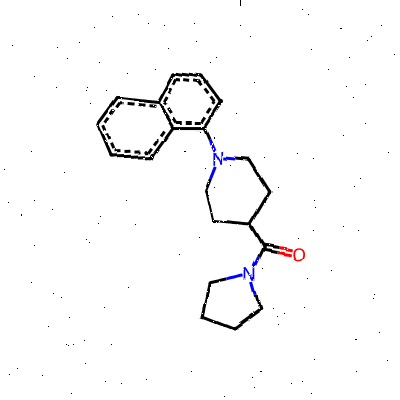 O=C(C1CCN(c2cccc3ccccc23)CC1)N1CCCC1